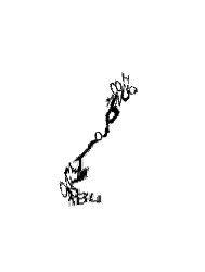 CCCCOC(=O)N1CCN(CCCCOCC#Cc2ccc3c(c2)n(C)c(=O)n3C2CCC(=O)NC2=O)CC1